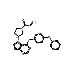 C=CC(=O)N1CC[C@@H](n2ccc3ncnc(Oc4ccc(Oc5ccccc5)cc4)c32)C1